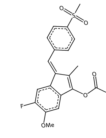 CCC(=O)OC1=C(C)C(=Cc2ccc(S(C)(=O)=O)cc2)c2cc(F)c(OC)cc21